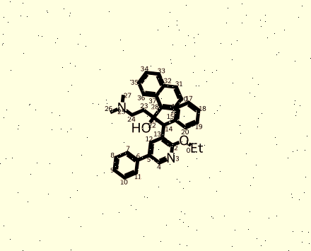 CCOc1ncc(-c2ccccc2)cc1C(c1ccccc1)C(O)(CCN(C)C)c1cccc2ccccc12